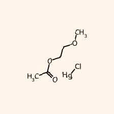 COCCOC(C)=O.[Cl][Hg]